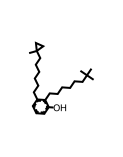 CC(C)(C)CCCCCCc1c(O)cccc1CCCCCCC1(C)CC1